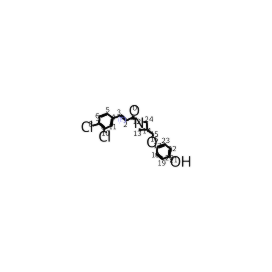 O=C(/C=C/c1ccc(Cl)c(Cl)c1)N1CC(COc2ccc(O)cc2)C1